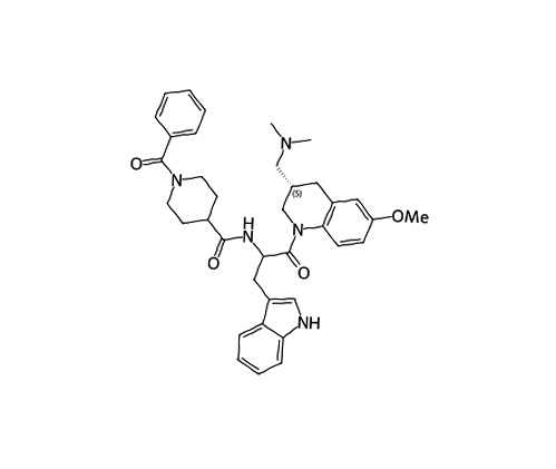 COc1ccc2c(c1)C[C@@H](CN(C)C)CN2C(=O)C(Cc1c[nH]c2ccccc12)NC(=O)C1CCN(C(=O)c2ccccc2)CC1